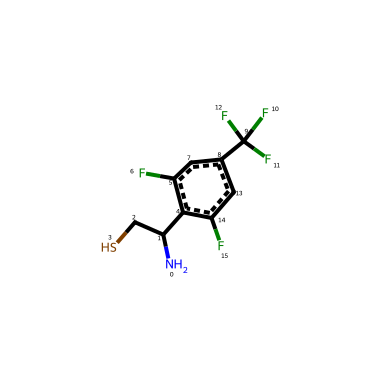 NC(CS)c1c(F)cc(C(F)(F)F)cc1F